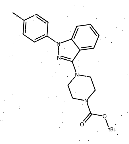 Cc1ccc(-n2nc(N3CCN(C(=O)OC(C)(C)C)CC3)c3ccccc32)cc1